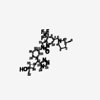 C[C@H]1CCCN(Cc2cc(C(F)(F)F)c3cn(-c4cccc([C@@H](c5nncn5C)[C@H]5C[C@@](C)(O)C5)c4)c(=O)n3c2)C1